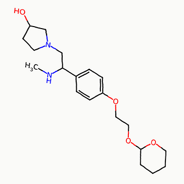 CNC(CN1CCC(O)C1)c1ccc(OCCOC2CCCCO2)cc1